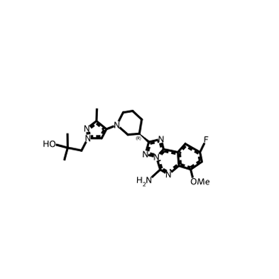 COc1cc(F)cc2c1nc(N)n1nc([C@@H]3CCCN(c4cn(CC(C)(C)O)nc4C)C3)nc21